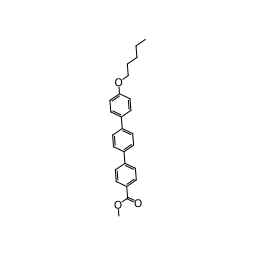 CCCCCOc1ccc(-c2ccc(-c3ccc(C(=O)OC)cc3)cc2)cc1